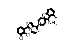 NC1c2c(F)cccc2OC12CCN(c1nccn3c(-c4cccc(Cl)c4Cl)ncc13)CC2